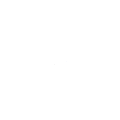 CC(F)(F)c1cc[c]cn1